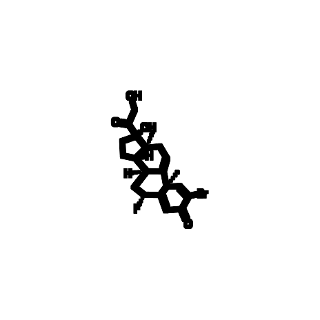 C[C@]12C=C(Br)C(=O)C=C1[C@H](F)C[C@@H]1C2=CC[C@@]2(C)[C@H]1CC[C@]2(O)C(=O)CO